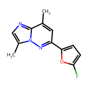 Cc1cc(-c2ccc(F)o2)nn2c(C)cnc12